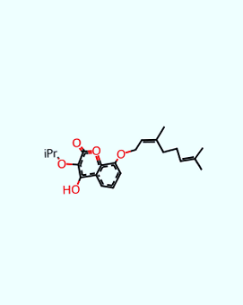 CC(C)=CCCC(C)=CCOc1cccc2c(O)c(OC(C)C)c(=O)oc12